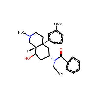 COc1cccc([C@@]23CCN(C)C[C@H]2C(O)C[C@@H](N(CC(C)C)C(=O)c2ccccc2)C3)c1